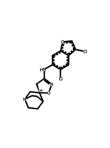 Clc1cc2c(Cl)coc2cc1NC1=NO[C@@]2(C1)CN1CCC2CC1